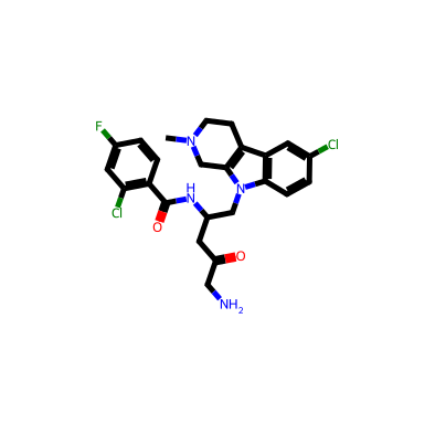 CN1CCc2c(n(CC(CC(=O)CN)NC(=O)c3ccc(F)cc3Cl)c3ccc(Cl)cc23)C1